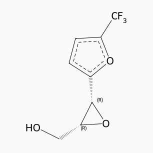 OC[C@H]1O[C@H]1c1ccc(C(F)(F)F)o1